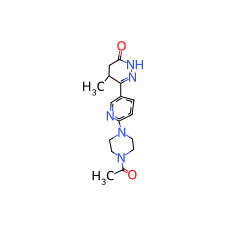 CC(=O)N1CCN(c2ccc(C3=NNC(=O)CC3C)cn2)CC1